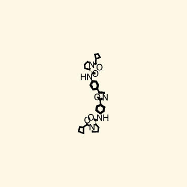 O=C(Nc1ccc(-c2cnc(-c3ccc(NC(=O)[C@@H]4CCCN4C(=O)C4CCC4)cc3)o2)cc1)[C@@H]1CCCN1C(=O)C1CCC1